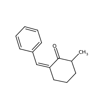 CC1CCCC(=Cc2ccccc2)C1=O